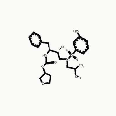 CC(C)CN(C[C@@H](O)[C@H](Cc1ccccc1)NC(=O)OC1CCOC1)S(=O)(=O)c1cccc(O)c1